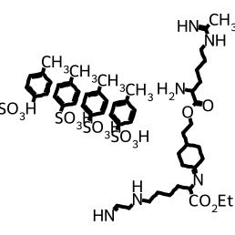 CCOC(=O)C(CCCCNCC=N)N=C1CCC(CCOC(=O)C(N)CCCCNC(C)=N)CC1.Cc1ccc(S(=O)(=O)O)cc1.Cc1ccc(S(=O)(=O)O)cc1.Cc1ccc(S(=O)(=O)O)cc1.Cc1ccc(S(=O)(=O)O)cc1